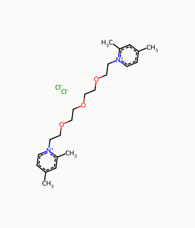 Cc1cc[n+](CCOCCOCCOCC[n+]2ccc(C)cc2C)c(C)c1.[Cl-].[Cl-]